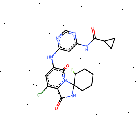 O=C1NC2(CCCCC2F)n2c1c(Cl)cc(Nc1cc(NC(=O)C3CC3)ncn1)c2=O